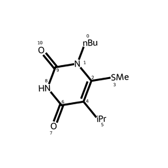 CCCCn1c(SC)c(C(C)C)c(=O)[nH]c1=O